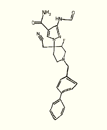 N#CCC1(n2cc(C(N)=O)c(NC=O)n2)CCN(Cc2ccc(-c3ccccc3)cc2)CC1F